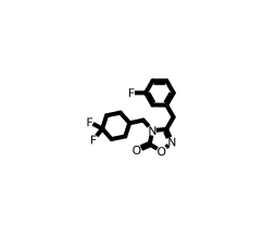 O=c1onc(Cc2cccc(F)c2)n1CC1CCC(F)(F)CC1